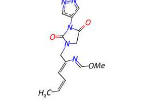 C\C=C/C=C(CN1CC(=O)N(c2cn[nH]c2)C1=O)\N=C\OC